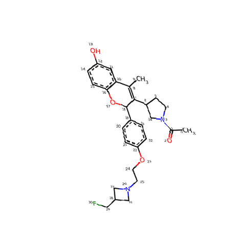 CC(=O)N1CCC(C2=C(C)c3cc(O)ccc3OC2c2ccc(OCCN3CC(CF)C3)cc2)C1